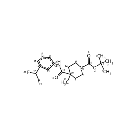 CC(C)(C)OC(=O)N1CCC(C)(C(=O)Nc2cncc(C(F)F)c2)CC1